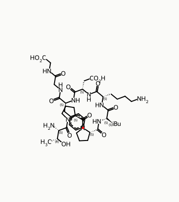 CC[C@H](C)[C@H](NC(=O)[C@@H]1CCCN1C(=O)[C@@H]1CCCN1C(=O)[C@@H](N)[C@@H](C)O)C(=O)N[C@@H](CCCCN)C(=O)N[C@@H](CC(=O)O)C(=O)N[C@@H](Cc1ccccc1)C(=O)NCC(=O)NCC(=O)O